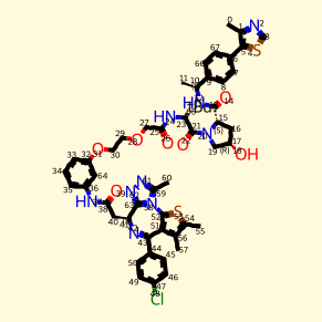 Cc1ncsc1-c1ccc([C@H](C)NC(=O)[C@@H]2C[C@@H](O)CN2C(=O)C(NC(=O)COCCOc2cccc(NC(=O)C[C@@H]3N=C(c4ccc(Cl)cc4)c4c(sc(C)c4C)-n4c(C)nnc43)c2)C(C)(C)C)cc1